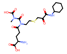 CN(C(=O)O)C(=O)N(CCSCC(=O)C(=O)NC1CCCCC1)C(=O)CCC(N)C(=O)O